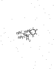 CCC[Si](CCC)(CCC)[SiH2]c1ccccc1